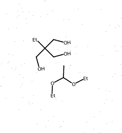 CCC(CO)(CO)CO.CCOC(C)OCC